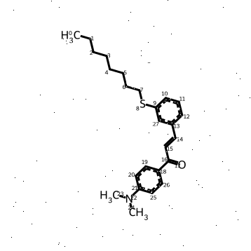 CCCCCCCCSc1cccc(C=CC(=O)c2ccc(N(C)C)cc2)c1